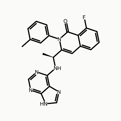 Cc1cccc(-n2c([C@H](C)Nc3ncnc4[nH]cnc34)cc3cccc(F)c3c2=O)c1